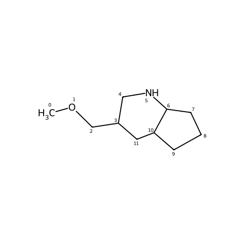 COCC1CNC2CCCC2C1